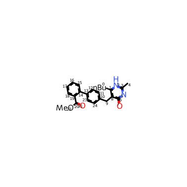 CCCCc1[nH]c(C)nc(=O)c1Cc1ccc(-c2ccccc2C(=O)OC)cc1